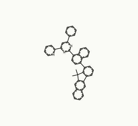 CC1(C)c2cc3ccccc3cc2-c2cccc(-c3ccc(-c4nc(-c5ccccc5)cc(-c5ccccn5)n4)c4ccccc34)c21